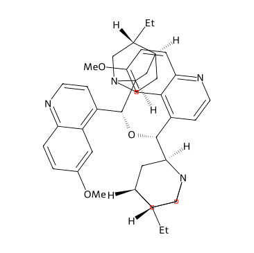 CC[C@H]1CN2CC[C@H]1C[C@H]2[C@H](O[C@H](c1ccnc2ccc(OC)cc12)[C@@H]1C[C@@H]2CCN1C[C@@H]2CC)c1ccnc2ccc(OC)cc12